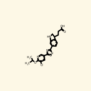 CC(C)Oc1ncc(-c2nc(-c3ccc4c(c3)NCC4CCC(=O)O)no2)cc1Cl